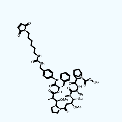 CC[C@H](C)[C@@H]([C@H](CC(=O)N1CCC[C@H]1[C@H](OC)[C@@H](C)C(=O)N[C@@H](Cc1ccccc1)C(=O)Nc1ccc(CNC(=O)NCCCCCCN2C(=O)C=CC2=O)cc1)OC)N(C)C(=O)[C@@H](NC(=O)C1C2CCC(C2)N1C(=O)OC(C)(C)C)C(C)C